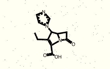 CCC1=C(C(=O)O)N2C(=O)CC2C1n1ccnc1